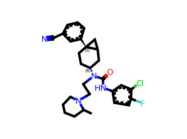 CC1CCCCN1CCN(C(=O)Nc1ccc(F)c(Cl)c1)[C@@H]1CC[C@]2(c3cccc(C#N)c3)CC2C1